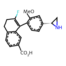 COc1cc([C@@H]2CN2)ccc1C1=C(F)CCc2ccc(C(=O)O)cc21